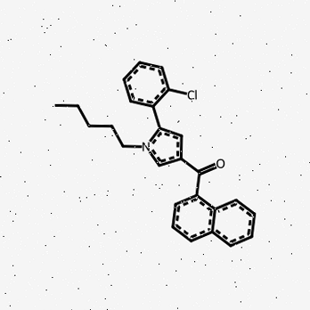 CCCCCn1cc(C(=O)c2cccc3ccccc23)cc1-c1ccccc1Cl